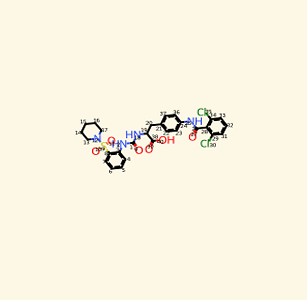 O=C(Nc1ccccc1S(=O)(=O)N1CCCCC1)NC(Cc1ccc(NC(=O)c2c(Cl)cccc2Cl)cc1)C(=O)O